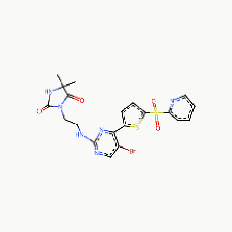 CC1(C)NC(=O)N(CCNc2ncc(Br)c(-c3ccc(S(=O)(=O)c4ccccn4)s3)n2)C1=O